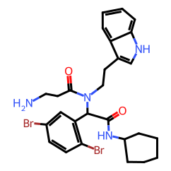 NCCC(=O)N(CCc1c[nH]c2ccccc12)C(C(=O)NC1CCCCC1)c1cc(Br)ccc1Br